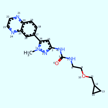 Cn1nc(NC(=O)NCCOCC2CC2)cc1-c1ccc2nccnc2c1